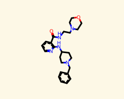 O=C(NCCN1CCOCC1)c1cccnc1NC1CCN(Cc2ccccc2)CC1